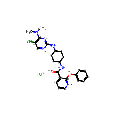 CN(C)c1nc(NC2CCC(NC(=O)c3cccnc3Oc3ccccc3)CC2)ncc1Cl.Cl